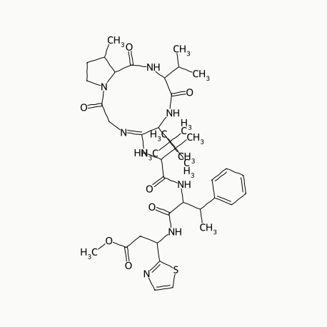 COC(=O)CC(NC(=O)C(NC(=O)C(NC1=NCC(=O)N2CCC(C)C2C(=O)NC(C(C)C)C(=O)NC1C(C)(C)C)C(C)(C)C)C(C)c1ccccc1)c1nccs1